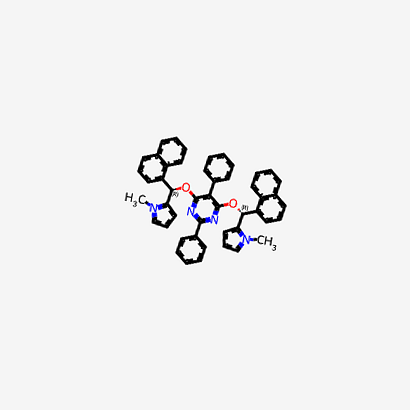 Cn1cccc1[C@H](Oc1nc(-c2ccccc2)nc(O[C@H](c2cccc3ccccc23)c2cccn2C)c1-c1ccccc1)c1cccc2ccccc12